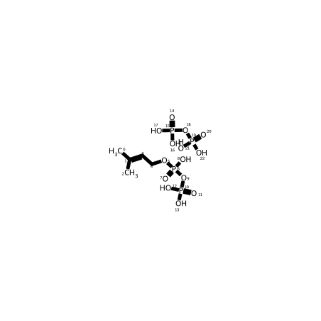 CC(C)=CCOP(=O)(O)OP(=O)(O)O.O=P(O)(O)OP(=O)(O)O